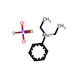 C[CH2][Mo+3]([CH2]C)[c]1ccccc1.[O-]P([O-])(=S)[S-]